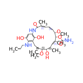 C=CCNc1c(O)cc2c(O)c1C[C@@H](C)[C@H](OC)C(O)[C@@H](C)/C=C(\C)C(OC(N)=O)C(OC)/C=C\C=C(/C)C(=O)N2